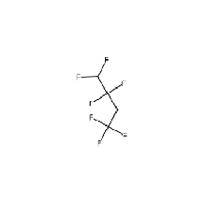 FC(F)C(F)(F)CC(F)(F)F